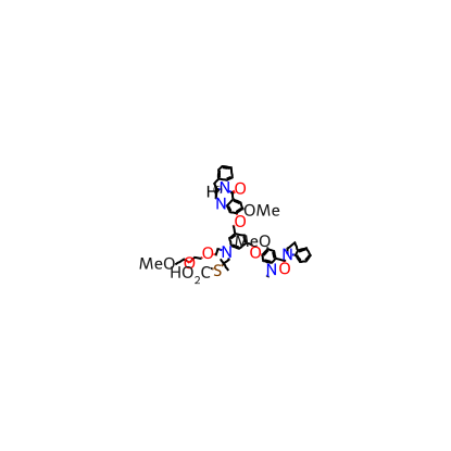 C=Nc1cc(OCc2cc(COc3cc4c(cc3OC)C(=O)N3c5ccccc5C[C@H]3C=N4)cc(N(CCOCCOCCOC)CC(C)(C)SCC(=O)O)c2)c(OC)cc1C(=O)N1CCc2ccccc21